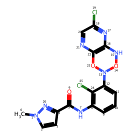 Cn1ccc(C(=O)Nc2cccc(-n3o[nH]c4nc(Cl)cnc4o3)c2Cl)n1